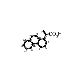 C=C(C(=O)O)c1cccc2c1ccc1ccccc12